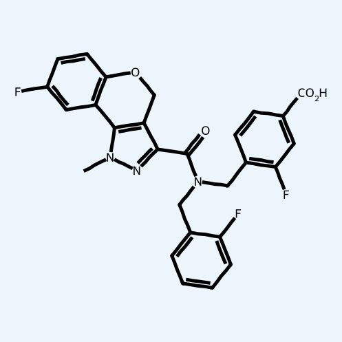 Cn1nc(C(=O)N(Cc2ccccc2F)Cc2ccc(C(=O)O)cc2F)c2c1-c1cc(F)ccc1OC2